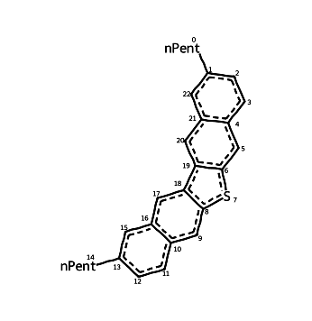 CCCCCc1ccc2cc3sc4cc5ccc(CCCCC)cc5cc4c3cc2c1